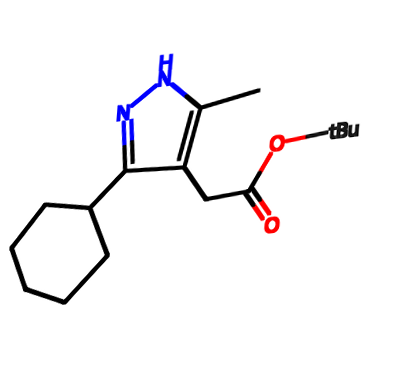 Cc1[nH]nc(C2CCCCC2)c1CC(=O)OC(C)(C)C